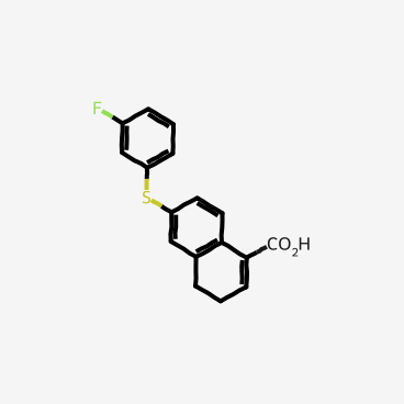 O=C(O)C1=CCCc2cc(Sc3cccc(F)c3)ccc21